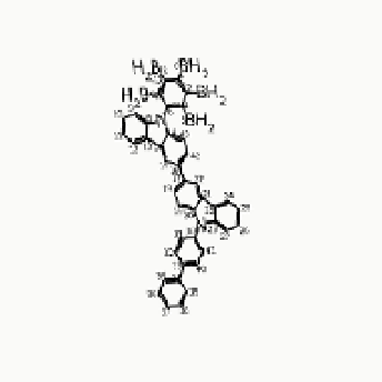 Bc1c(B)c(B)c(-n2c3ccccc3c3cc(-c4ccc5c(c4)c4ccccc4n5-c4ccc(-c5ccccc5)cc4)ccc32)c(B)c1B